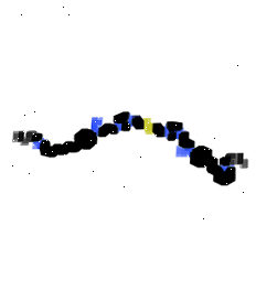 CC/N=C/C=C\C=C\C=C\c1ccc(NCCCn2cc[n+](CCSSCC[n+]3ccn(CCCNc4ccc(/C=C/c5cccc[n+]5CC)cc4)c3)c2)cc1